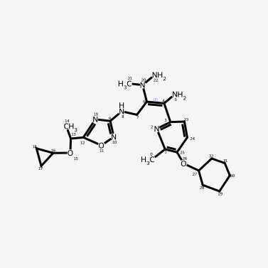 Cc1nc(/C(N)=C(\CNc2noc(C(C)OC3CC3)n2)N(C)N)ccc1OC1CCCCC1